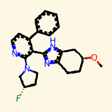 CO[C@H]1CCc2nc(-c3c(-c4ccccc4)ccnc3N3CC[C@H](F)C3)[nH]c2C1